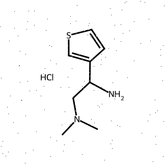 CN(C)CC(N)c1ccsc1.Cl